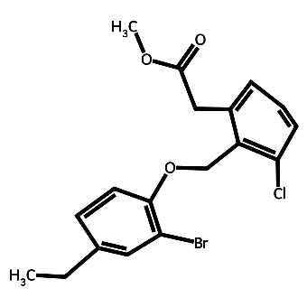 CCc1ccc(OCc2c(Cl)cccc2CC(=O)OC)c(Br)c1